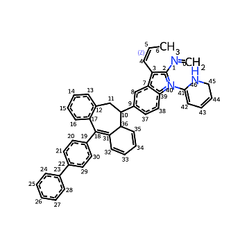 C=Nc1c(/C=C\C)c2cc(C3Cc4ccccc4C(c4ccc(-c5ccccc5)cc4)=C4C=CC=CC43)ccc2n1C1=CC=CCN1